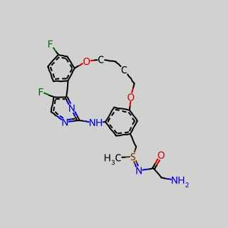 C/S(Cc1cc2cc(c1)OCCCCOc1cc(F)ccc1-c1nc(ncc1F)N2)=N/C(=O)CN